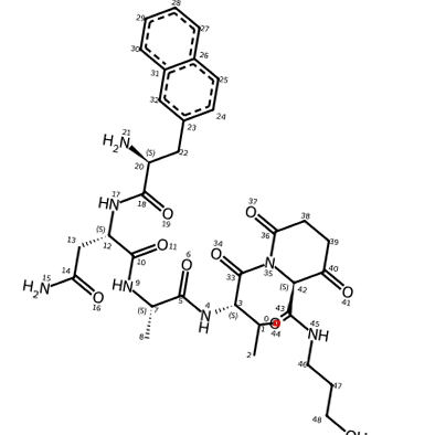 CC(C)[C@H](NC(=O)[C@H](C)NC(=O)[C@H](CC(N)=O)NC(=O)[C@@H](N)Cc1ccc2ccccc2c1)C(=O)N1C(=O)CCC(=O)[C@H]1C(=O)NCCCO